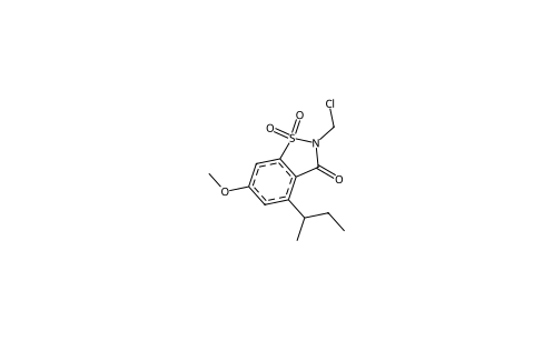 CCC(C)c1cc(OC)cc2c1C(=O)N(CCl)S2(=O)=O